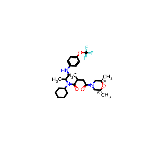 CC(CC(=O)N1C[C@@H](C)O[C@@H](C)C1)C(=O)N(C(C)CNc1ccc(OC(F)(F)F)cc1)C1CCCCC1